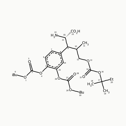 CCC(C)OC(=O)Oc1ccc(C(C(C)COC(=O)OC(C)(C)CC)[C@H](N)C(=O)O)cc1OC(=O)OC(C)CC